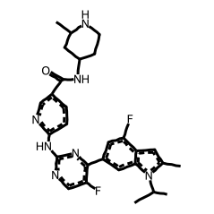 Cc1cc2c(F)cc(-c3nc(Nc4ccc(C(=O)NC5CCNC(C)C5)cn4)ncc3F)cc2n1C(C)C